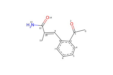 CC(=O)c1ccccc1C=C(C)C(N)=O